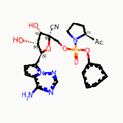 CC(=O)[C@@H]1CCCN1P(=O)(OC[C@@]1(C#N)O[C@@H](c2ccc3c(N)ncnn23)[C@H](O)[C@@H]1O)Oc1ccccc1